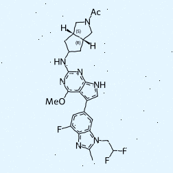 COc1nc(NC2C[C@@H]3CN(C(C)=O)C[C@@H]3C2)nc2[nH]cc(-c3cc(F)c4nc(C)n(CC(F)F)c4c3)c12